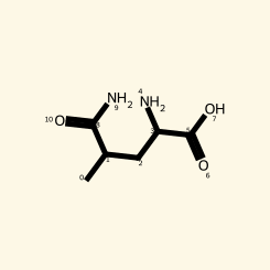 CC(CC(N)C(=O)O)C(N)=O